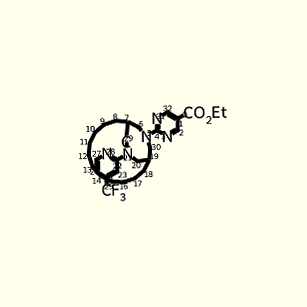 CCOC(=O)c1cnc(N2CC3CCCCCCCCCCCC(CN(c4cc(C(F)(F)F)ccn4)C3)C2)nc1